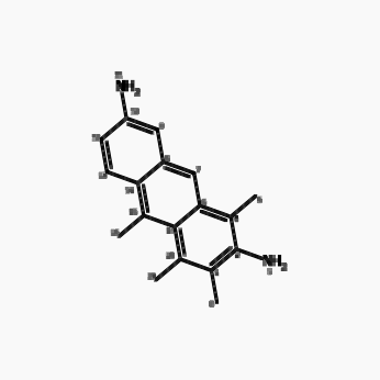 Cc1c(N)c(C)c2cc3cc(N)ccc3c(C)c2c1C